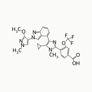 COc1nn(C)cc1-n1cc2c(-c3nc(-c4ccc(C(=O)O)cc4OC(F)(F)F)n(C)c3C3CC3)cccc2n1